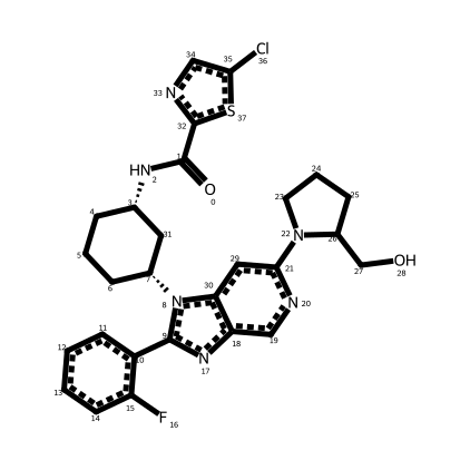 O=C(N[C@H]1CCC[C@@H](n2c(-c3ccccc3F)nc3cnc(N4CCCC4CO)cc32)C1)c1ncc(Cl)s1